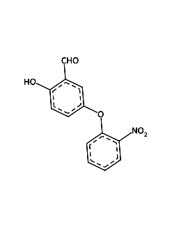 O=Cc1cc(Oc2ccccc2[N+](=O)[O-])ccc1O